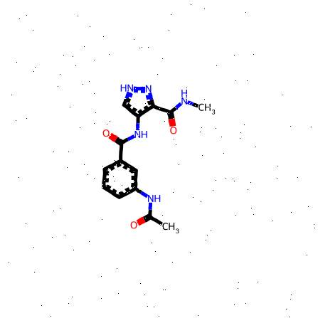 CNC(=O)c1n[nH]cc1NC(=O)c1cccc(NC(C)=O)c1